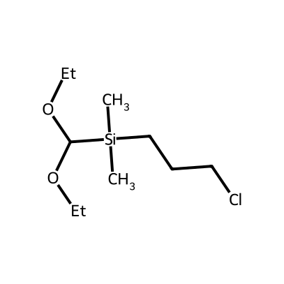 CCOC(OCC)[Si](C)(C)CCCCl